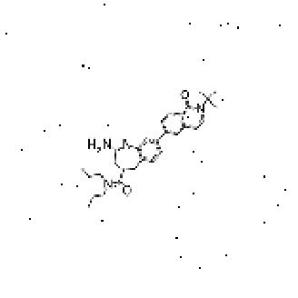 CCCN(CCC)C(=O)C1=Cc2ccc(-c3ccc4c(=O)n(C(C)(C)C)ccc4c3)cc2N=C(N)C1